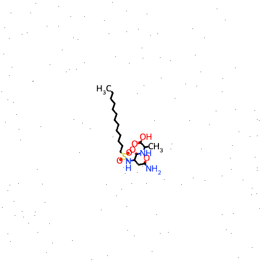 CCCCCCCCCCCCCS(=O)(=O)NC(CC(N)=O)C(=O)NC(C)C(=O)O